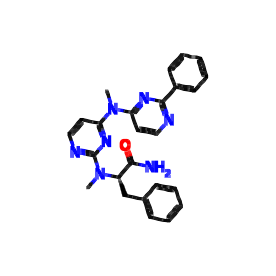 CN(c1ccnc(-c2ccccc2)n1)c1ccnc(N(C)[C@H](Cc2ccccc2)C(N)=O)n1